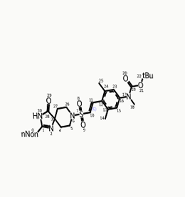 CCCCCCCCCC1=NC2(CCN(S(=O)(=O)/C=C/c3c(C)cc(N(C)C(=O)OC(C)(C)C)cc3C)CC2)C(=O)N1